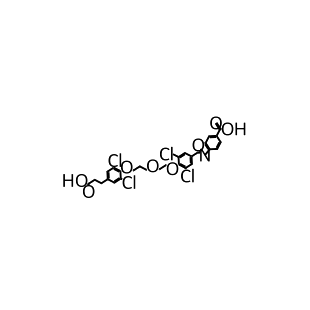 O=C(O)CCc1cc(Cl)c(OCCCOCCOc2c(Cl)cc(-c3nc4ccc(C(=O)O)cc4o3)cc2Cl)c(Cl)c1